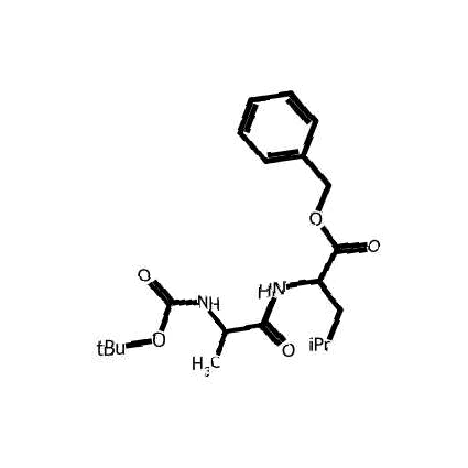 CC(C)CC(NC(=O)C(C)NC(=O)OC(C)(C)C)C(=O)OCc1ccccc1